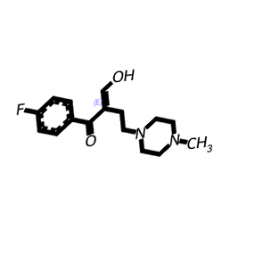 CN1CCN(CC/C(=C\O)C(=O)c2ccc(F)cc2)CC1